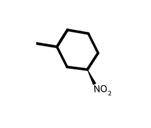 CC1CCC[C@@H]([N+](=O)[O-])C1